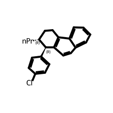 CCC[C@@H]1CCc2c(ccc3ccccc23)[C@H]1c1ccc(Cl)cc1